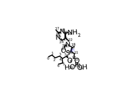 CCCCC(CC)C(=O)S/C(CCOP(O)O)=C(/C)N(C=O)Cc1cnc(C)nc1N